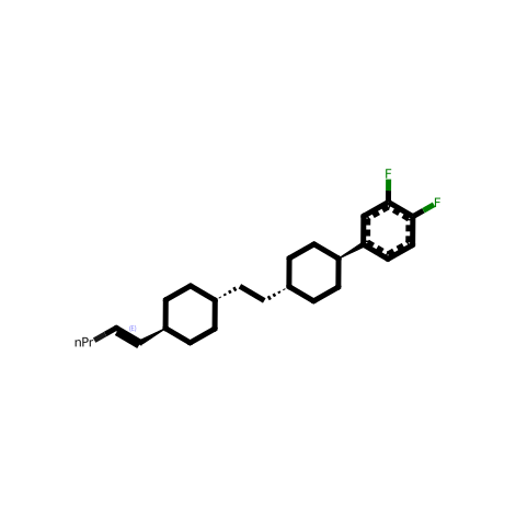 CCC/C=C/[C@H]1CC[C@H](CC[C@H]2CC[C@H](c3ccc(F)c(F)c3)CC2)CC1